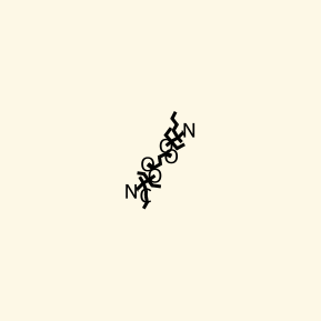 CCCCC(C)(C#N)C(CC)(CC)OC(=O)CCC(=O)OC(CC)(CC)C(C)(C#N)CCCC